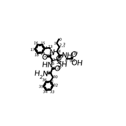 CC[C@H](C)[C@@H](C(=O)NCC(=O)O)N(Cc1ccccc1)C(=O)[C@@H](CS)NC(=O)C(N)Cc1ccccc1